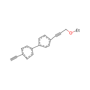 C#Cc1ccc(-c2ccc(C#CCOCC)cc2)cc1